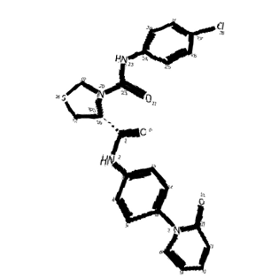 O=C(Nc1ccc(-n2ccccc2=O)cc1)[C@@H]1CSCN1C(=O)Nc1ccc(Cl)cc1